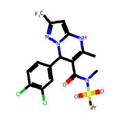 CC1=C(C(=O)N(C)S(=O)(=O)C(C)C)C(c2ccc(Cl)c(Cl)c2)n2nc(C(F)(F)F)cc2N1